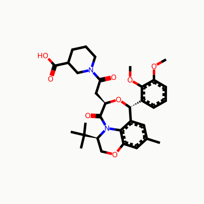 COc1cccc([C@H]2O[C@H](CC(=O)N3CCCC(C(=O)O)C3)C(=O)N3c4c(cc(C)cc42)OC[C@H]3C(C)(C)C)c1OC